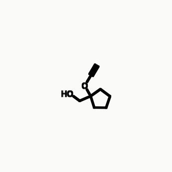 C#COC1(CO)CCCC1